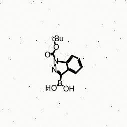 CC(C)(C)OC(=O)n1nc(B(O)O)c2ccccc21